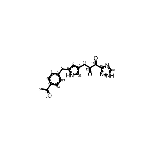 CC(=O)c1ccc(Cc2cc(CC(=O)C(=O)c3nc[nH]n3)c[nH]2)cc1